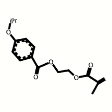 C=C(C)C(=O)OCCOC(=O)c1ccc(OC(C)C)cc1